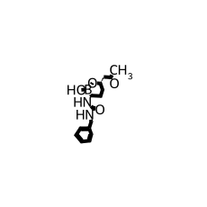 CC(=O)C[C@@H]1CC[C@H](NC(=O)NCc2ccccc2)B(O)O1